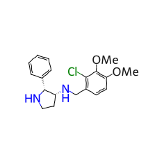 COc1ccc(CN[C@@H]2CCN[C@@H]2c2ccccc2)c(Cl)c1OC